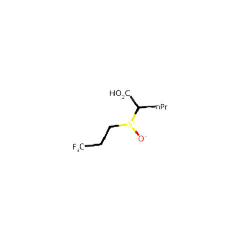 CCCC(C(=O)O)[S+]([O-])CCC(F)(F)F